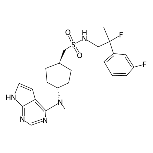 CN(c1ncnc2[nH]ccc12)[C@H]1CC[C@H](CS(=O)(=O)NCC(C)(F)c2cccc(F)c2)CC1